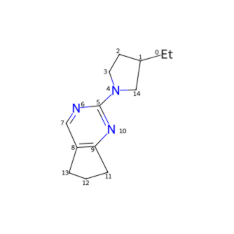 CCC1CCN(c2ncc3c(n2)CCC3)C1